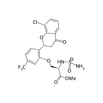 COC(=O)[C@@H](COc1cc(C(F)(F)F)ccc1C1CC(=O)c2cccc(Cl)c2O1)NS(N)(=O)=O